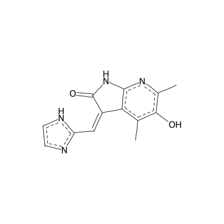 Cc1nc2c(c(C)c1O)C(=Cc1ncc[nH]1)C(=O)N2